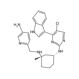 C[C@]1(NCc2ccc(N)cn2)CCC[C@@H](Nc2ncc(Cl)c(-c3c[nH]c4ccccc34)n2)C1